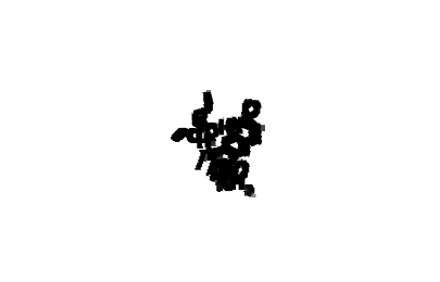 CCO[PH](=O)OCC.NS(=O)(=O)c1cc2c[c]c(=O)[nH]c2cc1C(F)(F)F